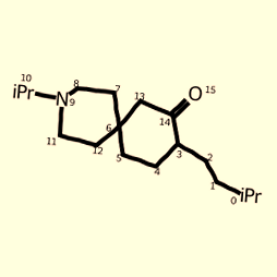 CC(C)CCC1CCC2(CCN(C(C)C)CC2)CC1=O